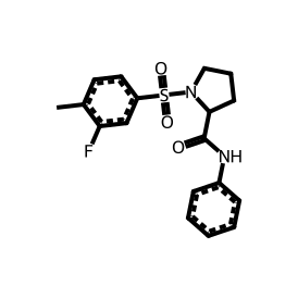 Cc1ccc(S(=O)(=O)N2CCCC2C(=O)Nc2ccccc2)cc1F